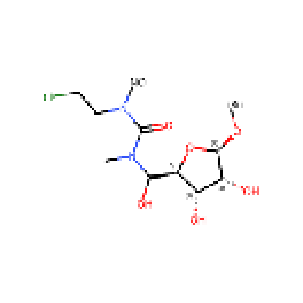 CCC(C)O[C@@H]1O[C@H](C(O)N(C)C(=O)N(CCCl)N=O)[C@@H](O)[C@H]1O